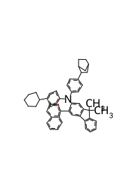 CC1(C)c2ccccc2-c2cc(-c3cccc4ccccc34)c(N(c3ccc(C4CCCCC4)cc3)c3ccc(C4CC5CCC4C5)cc3)cc21